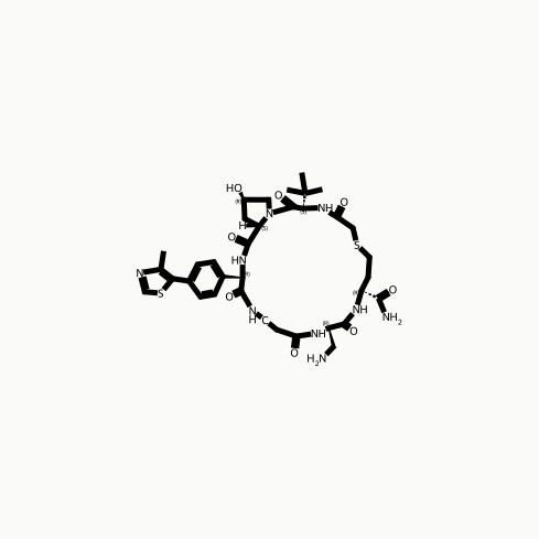 Cc1ncsc1-c1ccc([C@H]2NC(=O)[C@@H]3C[C@@H](O)CN3C(=O)[C@H](C(C)(C)C)NC(=O)CSCC[C@H](C(N)=O)NC(=O)[C@@H](CN)NC(=O)CCNC2=O)cc1